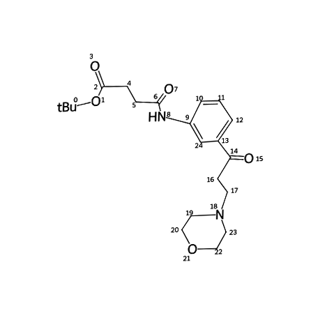 CC(C)(C)OC(=O)CCC(=O)Nc1cccc(C(=O)CCN2CCOCC2)c1